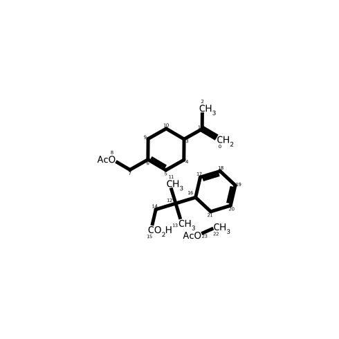 C=C(C)C1CC=C(COC(C)=O)CC1.CC(C)(CC(=O)O)C1C=CC=CC1.COC(C)=O